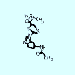 C=CC(=O)Nc1ccc2ncn(-c3cncc(C(=O)N(C)C)n3)c2c1